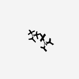 CC(C)N(C(C)C)C(C)(C)CC(C)(C)N(C(C)C)C(C)(C)C